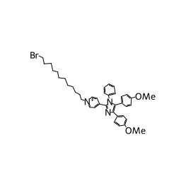 COc1ccc(-c2nc(-c3cc[n+](CCCCCCCCCCCCBr)cc3)n(-c3ccccc3)c2-c2ccc(OC)cc2)cc1